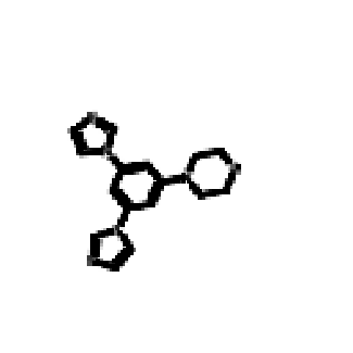 c1cn(-c2cc(N3CCOCC3)cc(-n3ccnc3)c2)cn1